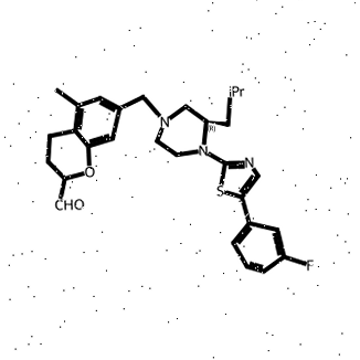 Cc1cc(CN2CCN(c3ncc(-c4cccc(F)c4)s3)[C@H](CC(C)C)C2)cc2c1CCC(C=O)O2